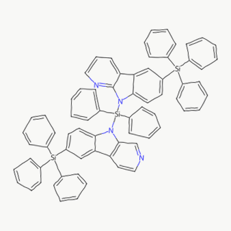 c1ccc([Si](c2ccccc2)(c2ccccc2)c2ccc3c(c2)c2ccncc2n3[Si](c2ccccc2)(c2ccccc2)n2c3ccc([Si](c4ccccc4)(c4ccccc4)c4ccccc4)cc3c3cccnc32)cc1